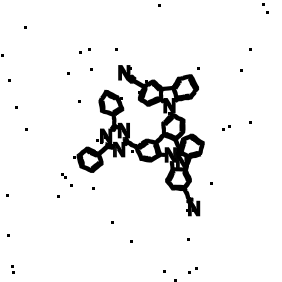 N#Cc1ccc2c(c1)c1ccccc1n2-c1ccc(C#N)c(-c2cc(-c3nc(-c4ccccc4)nc(-c4ccccc4)n3)ccc2-n2c3ccccc3c3cc(C#N)ccc32)c1